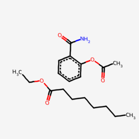 CC(=O)Oc1ccccc1C(N)=O.CCCCCCCC(=O)OCC